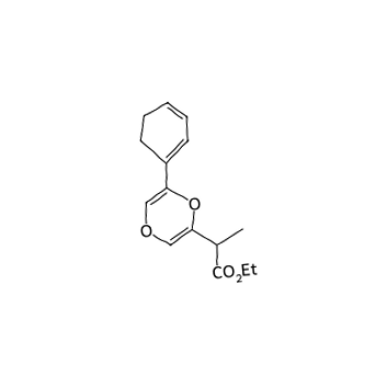 CCOC(=O)C(C)C1=COC=C(C2=CC=CCC2)O1